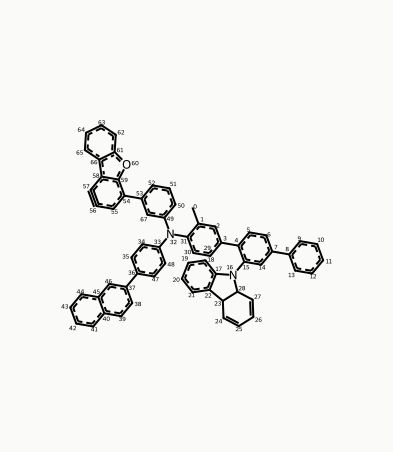 Cc1cc(-c2ccc(-c3ccccc3)cc2N2c3ccccc3C3C=CC=CC32)ccc1N(c1ccc(-c2ccc3ccccc3c2)cc1)c1cccc(-c2cc#cc3c2oc2ccccc23)c1